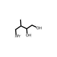 CCCCC(C)C(O)CO